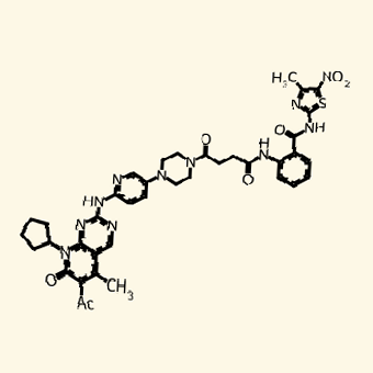 CC(=O)c1c(C)c2cnc(Nc3ccc(N4CCN(C(=O)CCC(=O)Nc5ccccc5C(=O)Nc5nc(C)c([N+](=O)[O-])s5)CC4)cn3)nc2n(C2CCCC2)c1=O